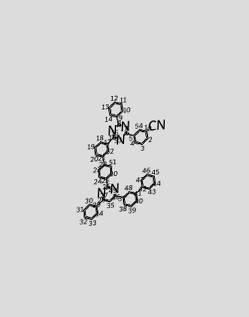 N#Cc1cccc(-c2nc(-c3ccccc3)nc(-c3cccc(-c4ccc(-c5nc(-c6ccccc6)cc(-c6cccc(-c7ccccc7)c6)n5)cc4)c3)n2)c1